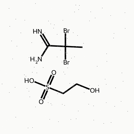 CC(Br)(Br)C(=N)N.O=S(=O)(O)CCO